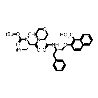 CC(C)C[C@@H](C(=O)N1CCOC[C@@H]1C(=O)N[C@@H](COc1ccc2ccccc2c1C(=O)O)Cc1ccccc1)N(C)C(=O)OC(C)(C)C